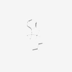 C=C(C)C(=O)OC1(C)Cc2ccccc2C12CC2